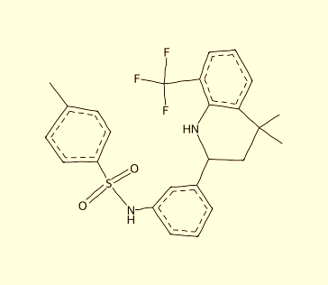 Cc1ccc(S(=O)(=O)Nc2cccc(C3CC(C)(C)c4cccc(C(F)(F)F)c4N3)c2)cc1